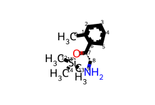 Cc1ccccc1[C@H](CN)O[Si](C)(C)C